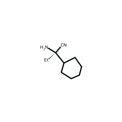 CC[C@](N)(C#N)C1CCCCC1